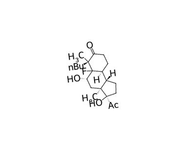 CCCC[C@@]1(C)C(=O)CC[C@H]2[C@@H]3CC[C@](O)(C(C)=O)[C@@]3(C)C[C@H](O)C21F